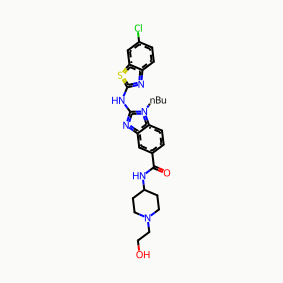 CCCCn1c(Nc2nc3ccc(Cl)cc3s2)nc2cc(C(=O)NC3CCN(CCO)CC3)ccc21